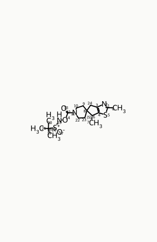 Cc1nc2c(s1)[C@@H](C)C1(CCN(C(=O)ON[S@+]([O-])C(C)(C)C)CC1)C2